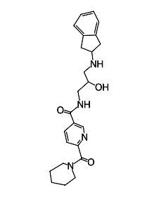 O=C(NCC(O)CNC1Cc2ccccc2C1)c1ccc(C(=O)N2CCCCC2)nc1